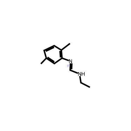 CCN/C=N/c1cc(C)ccc1C